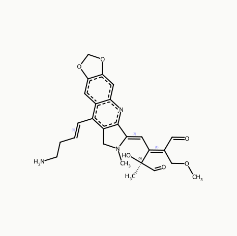 COC/C(C=O)=C(/C=C1/c2nc3cc4c(cc3c(/C=C/CCN)c2CN1C)OCO4)[C@](C)(O)C=O